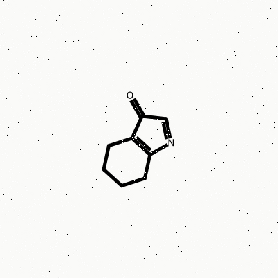 O=C1C=NC2=C1CCCC2